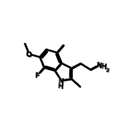 COc1cc(C)c2c(CCN)c(C)[nH]c2c1F